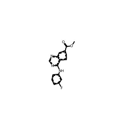 COC(=O)c1ccc2c(Nc3cccc(F)c3)ncnc2c1